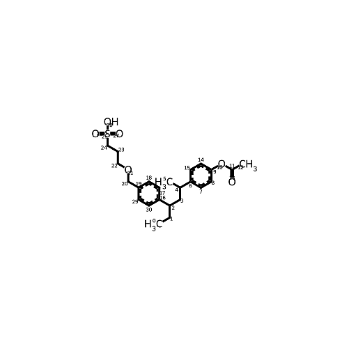 CCC(CC(C)c1ccc(OC(C)=O)cc1)c1ccc(COCCCS(=O)(=O)O)cc1